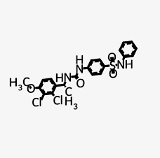 COc1ccc([C@H](C)NC(=O)Nc2ccc(S(=O)(=O)Nc3ccccc3)cc2)c(Cl)c1Cl